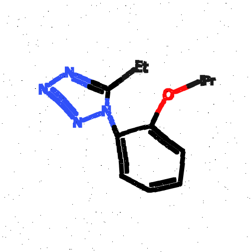 CCc1nnnn1-c1ccccc1OC(C)C